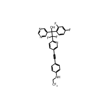 OC(c1cncnc1)(c1ccc(F)cc1F)C(F)(F)c1ccc(C#Cc2ccc(NCC(F)(F)F)cc2)cn1